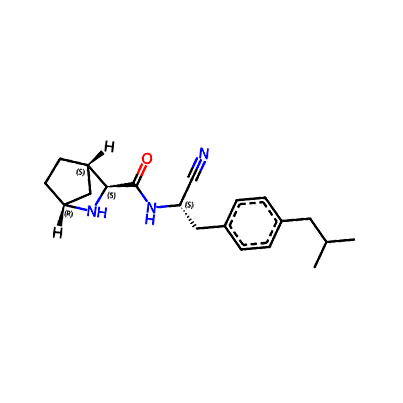 CC(C)Cc1ccc(C[C@@H](C#N)NC(=O)[C@H]2N[C@@H]3CC[C@H]2C3)cc1